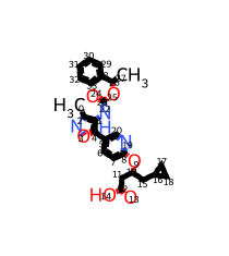 Cc1noc(-c2ccc(OC(CC(=O)O)CC3CC3)nc2)c1NC(=O)OC(C)c1ccccc1